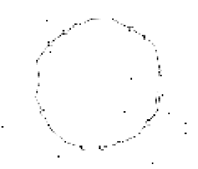 C1=CCCCCCCCCCCCCCCCCCCCC1